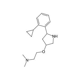 CN(C)CCOC1CNC(c2ccccc2C2CC2)C1